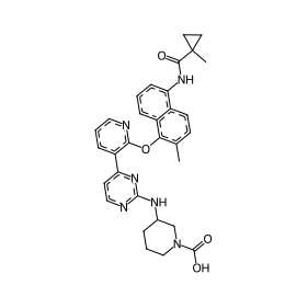 Cc1ccc2c(NC(=O)C3(C)CC3)cccc2c1Oc1ncccc1-c1ccnc(NC2CCCN(C(=O)O)C2)n1